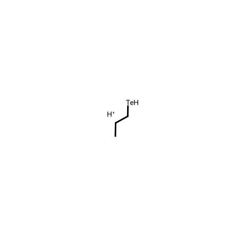 CCC[TeH].[H+]